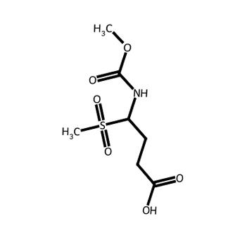 COC(=O)NC(CCC(=O)O)S(C)(=O)=O